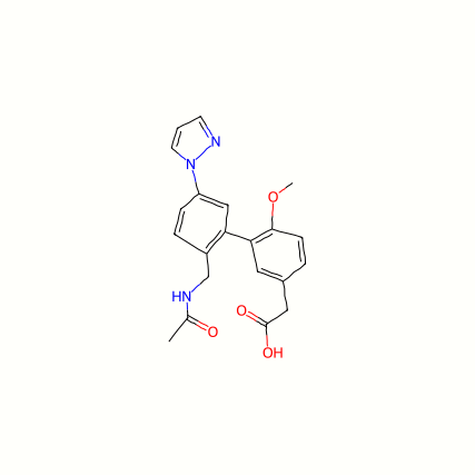 COc1ccc(CC(=O)O)cc1-c1cc(-n2cccn2)ccc1CNC(C)=O